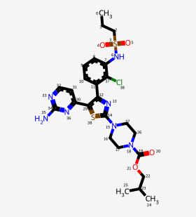 CCCS(=O)(=O)Nc1cccc(-c2nc(N3CCN(C(=O)OCC(C)C)CC3)sc2-c2ccnc(N)n2)c1Cl